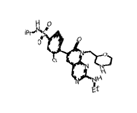 CCNc1ncc2cc(-c3ccc(S(=O)(=O)NC(C)C)cc3Cl)c(=O)n(CC3CNCCO3)c2n1